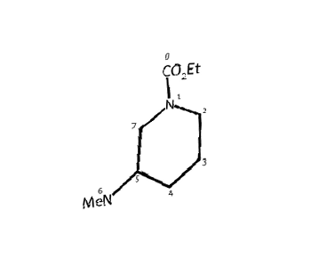 CCOC(=O)N1CCCC(NC)C1